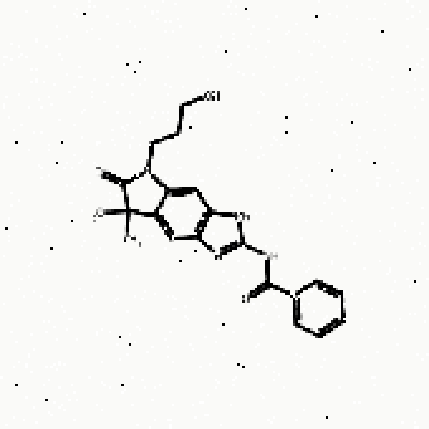 CC1(C)C(=O)N(CCCO)c2cc3[nH]c(NC(=O)c4ccccc4)nc3cc21